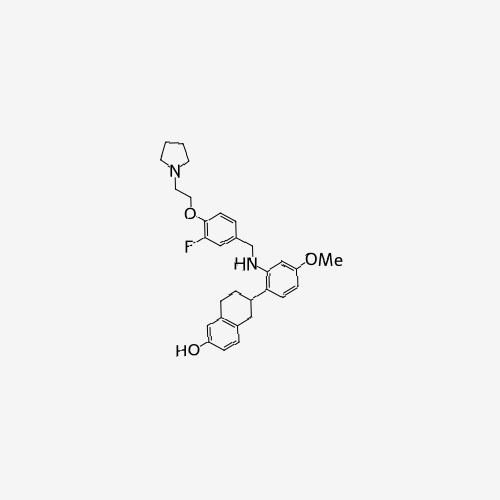 COc1ccc(C2CCc3cc(O)ccc3C2)c(NCc2ccc(OCCN3CCCC3)c(F)c2)c1